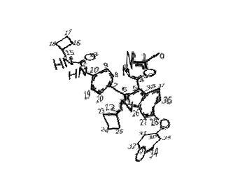 Cc1nnc(-c2c(-c3ccc(NC(=O)NC4CCC4)cc3)n(C3CCC3)c3cc(OC4CCOCC4)ccc23)o1